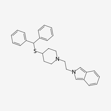 c1ccc(C(SC2CCN(CCn3cc4ccccc4c3)CC2)c2ccccc2)cc1